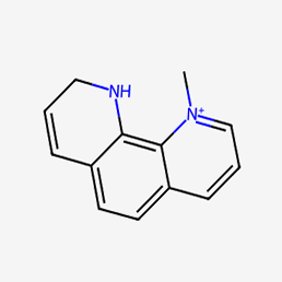 C[n+]1cccc2ccc3c(c21)NCC=C3